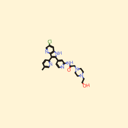 Cc1ccc(-c2c(-c3ccnc(NC(=O)CN4CCN(CCO)CC4)c3)[nH]c3cc(Cl)cnc23)nc1